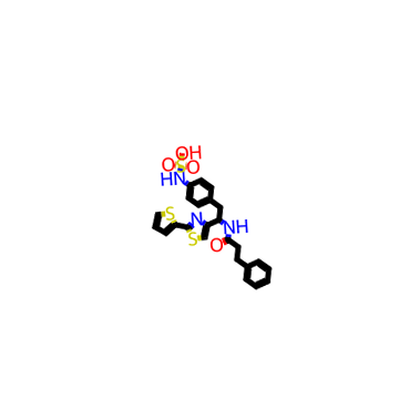 O=C(CCc1ccccc1)NC(Cc1ccc(NS(=O)(=O)O)cc1)c1csc(-c2cccs2)n1